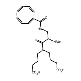 CNC(CNC(=O)C1=C/C=C\C=C/C=C\1)C(=O)N(CCCC(=O)O)CCCS(=O)(=O)O